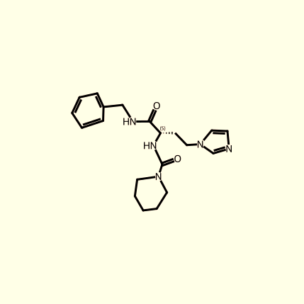 O=C(NCc1ccccc1)[C@H](CCn1ccnc1)NC(=O)N1CCCCC1